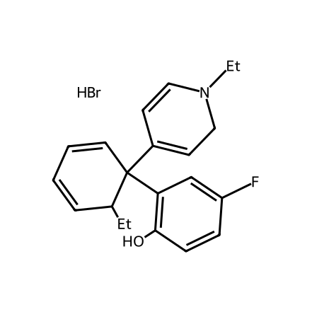 Br.CCC1C=CC=CC1(C1=CCN(CC)C=C1)c1cc(F)ccc1O